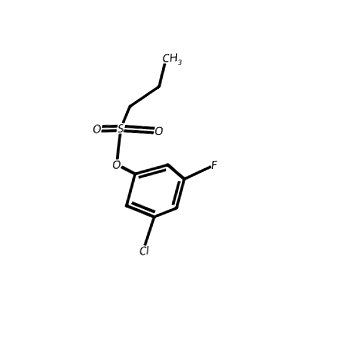 CCCS(=O)(=O)Oc1cc(F)cc(Cl)c1